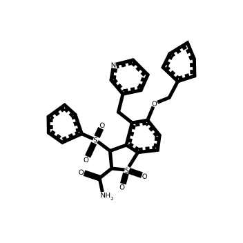 NC(=O)C1C(S(=O)(=O)c2ccccc2)c2c(ccc(OCc3ccccc3)c2Cc2cccnc2)S1(=O)=O